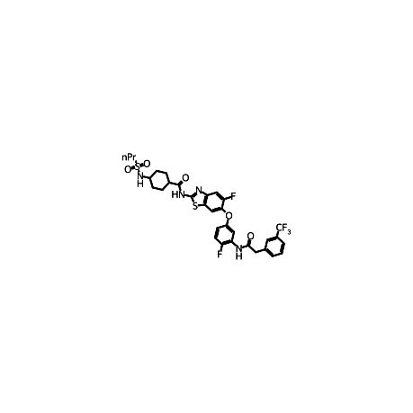 CCCS(=O)(=O)NC1CCC(C(=O)Nc2nc3cc(F)c(Oc4ccc(F)c(NC(=O)Cc5cccc(C(F)(F)F)c5)c4)cc3s2)CC1